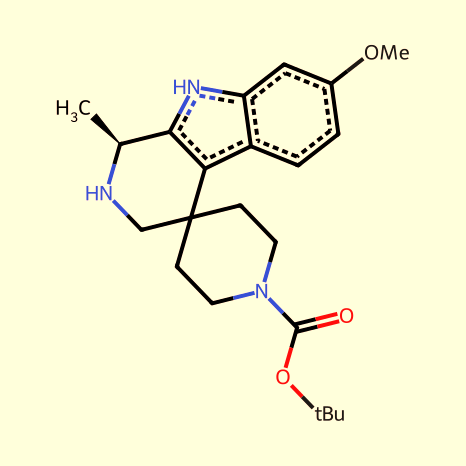 COc1ccc2c3c([nH]c2c1)[C@H](C)NCC31CCN(C(=O)OC(C)(C)C)CC1